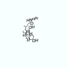 CCCNC(=O)CC[C@H](C)[C@H]1CC[C@H]2[C@H]3CC[C@H]4C[C@@H](O)CC[C@@]4(C)[C@H]3C[C@@H](O)[C@]12C